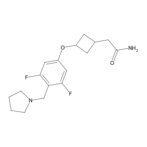 NC(=O)CC1CC(Oc2cc(F)c(CN3CCCC3)c(F)c2)C1